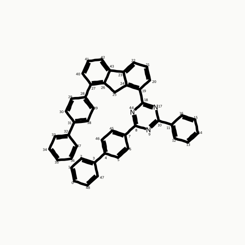 c1ccc(-c2ccc(-c3nc(-c4ccccc4)nc(-c4cccc5c4Cc4c(-c6ccc(-c7ccccc7)cc6)cccc4-5)n3)cc2)cc1